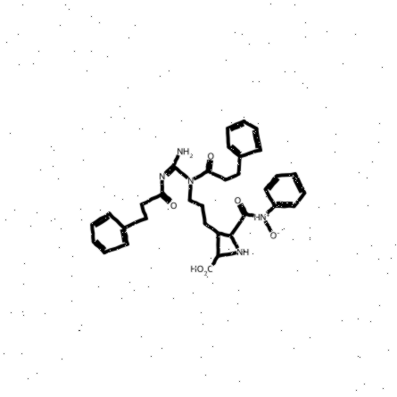 NC(=NC(=O)CCc1ccccc1)N(CCCC1C(C(=O)O)NC1C(=O)[NH+]([O-])c1ccccc1)C(=O)CCc1ccccc1